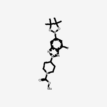 CC(C)(C)OC(=O)N1CCC(n2nc3cc(B4OC(C)(C)C(C)(C)O4)cc(F)c3n2)CC1